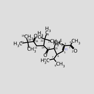 CC(=O)/C(C)=C/C(C(C)C)C(C)C(=O)C(CC(=O)C(C)(C)C)C(C)(C)C